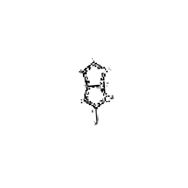 Cc1cc2ccnn2o1